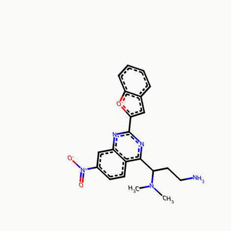 CN(C)C(CCN)c1nc(-c2cc3ccccc3o2)nc2cc([N+](=O)[O-])ccc12